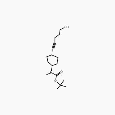 CN(C(=O)OC(C)(C)C)[C@H]1CC[C@H](C#CCCCO)CC1